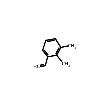 [CH]=Cc1cccc(C)c1C